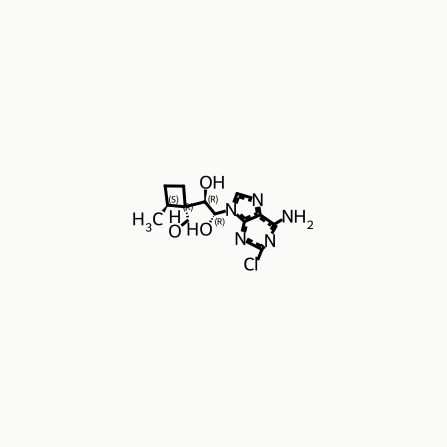 C[C@H]1CC[C@@]1(CO)[C@@H](O)[C@@H](O)n1cnc2c(N)nc(Cl)nc21